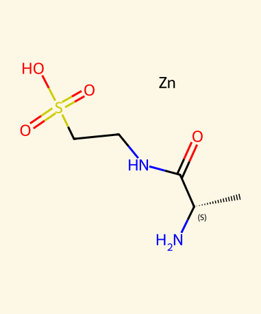 C[C@H](N)C(=O)NCCS(=O)(=O)O.[Zn]